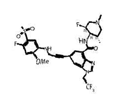 COc1cc(F)c(S(C)(=O)=O)cc1NCC#Cc1cc(C(=O)N[C@@H]2[C@@H](C)CN(C)C[C@@H]2F)c2ncn(CC(F)(F)F)c2c1